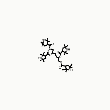 CC1(C)CC(C(=O)OCC(CCC(COC(=O)C2CC(C)(C)NC2(C)C)OC(=O)C2CC(C)(C)NC2(C)C)OC(=O)C2CC(C)(C)NC2(C)C)C(C)(C)N1